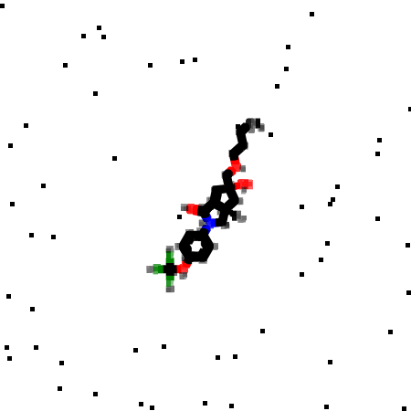 CCCCOC[C@@]1(O)C=C2C(=O)N(c3ccc(OC(F)(F)F)cc3)C[C@@H]2C1